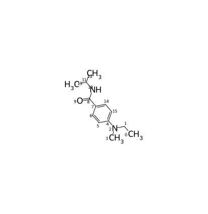 CCN(C)c1ccc(C(=O)NC(C)C)cc1